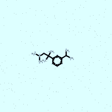 CC(C)c1cccc(C(C)(C)CN(C)C)c1